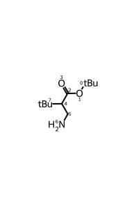 CC(C)(C)OC(=O)C(CN)C(C)(C)C